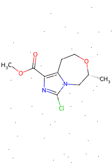 COC(=O)c1nc(Cl)n2c1CCO[C@H](C)C2